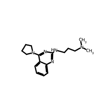 CN(C)CCCNc1nc(N2CCCC2)c2ccccc2n1